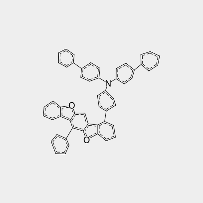 c1ccc(-c2ccc(N(c3ccc(-c4ccccc4)cc3)c3ccc(-c4cccc5oc6c(-c7ccccc7)c7c(cc6c45)oc4ccccc47)cc3)cc2)cc1